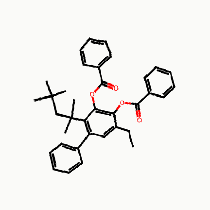 CCc1cc(-c2ccccc2)c(C(C)(C)CC(C)(C)C)c(OC(=O)c2ccccc2)c1OC(=O)c1ccccc1